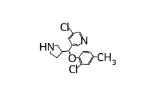 Cc1ccc(O[C@H](c2cncc(Cl)c2)C2CCNC2)c(Cl)c1